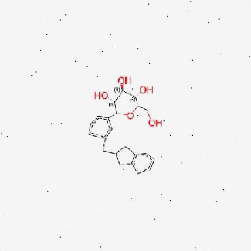 OCC1OC(c2cccc(CC3Cc4ccccc4C3)c2)[C@H](O)[C@@H](O)[C@@H]1O